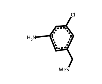 CSCc1cc(N)cc(Cl)c1